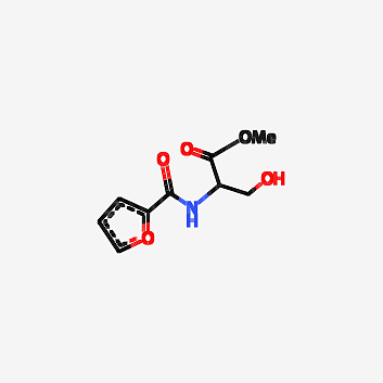 COC(=O)C(CO)NC(=O)c1ccco1